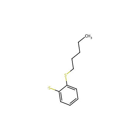 CCCCCSc1ccccc1[S]